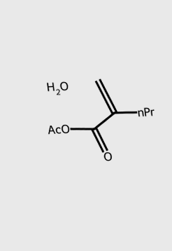 C=C(CCC)C(=O)OC(C)=O.O